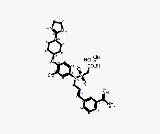 CCOC(=O)CS(=O)(=O)N(C/C=C/c1cccc(C(=N)N)c1)c1ccc(OC2CCN(C3=NCCO3)CC2)c(Cl)c1.Cl.Cl